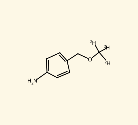 [2H]C([2H])([2H])OCc1ccc(N)cc1